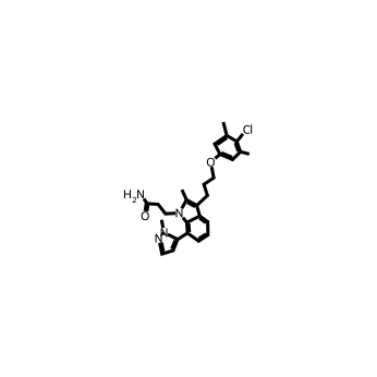 Cc1cc(OCCCc2c(C)n(CCC(N)=O)c3c(-c4ccnn4C)cccc23)cc(C)c1Cl